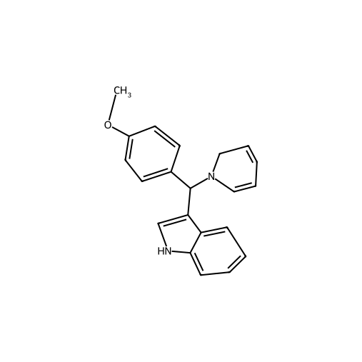 COc1ccc(C(c2c[nH]c3ccccc23)N2C=CC=CC2)cc1